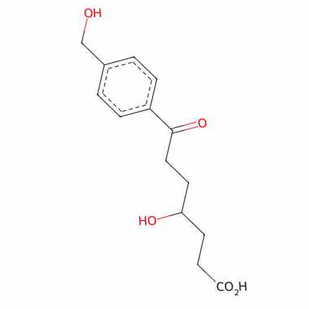 O=C(O)CCC(O)CCC(=O)c1ccc(CO)cc1